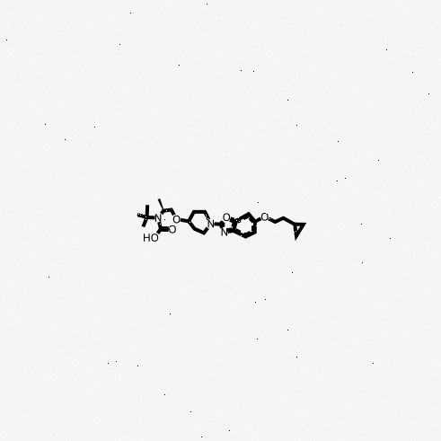 C[C@@H](COC1CCN(c2nc3ccc(OCCC4CC4)cc3o2)CC1)N(C(=O)O)C(C)(C)C